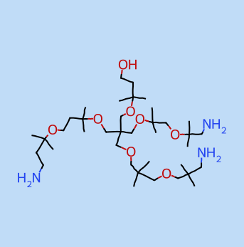 CC(C)(CN)COCC(C)(C)COCC(COC(C)(C)CCO)(COC(C)(C)CCOC(C)(C)CCN)COC(C)(C)COC(C)(C)CN